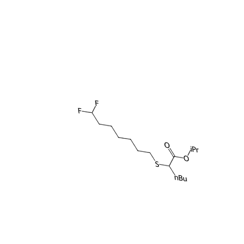 CCCCC(SCCCCCCC(F)F)C(=O)OC(C)C